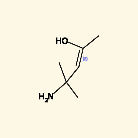 C/C(O)=C/C(C)(C)N